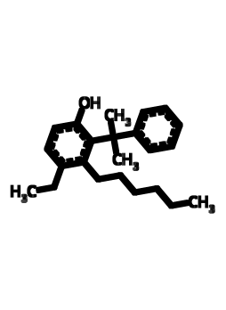 CCCCCCc1c(CC)ccc(O)c1C(C)(C)c1ccccc1